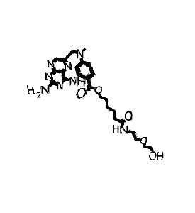 CN(Cc1cnc2nc(N)nc(N)c2n1)c1ccc(C(=O)OCCCCCC(=O)NCCOCCO)cc1